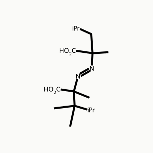 CC(C)CC(C)(N=NC(C)(C(=O)O)C(C)(C)C(C)C)C(=O)O